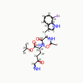 CC(=O)N[C@@H](Cc1c[nH]c2c(I)cccc12)C(=O)N[C@@H](CCC(=O)C=N)C(=O)OC(C)C